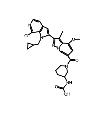 COc1cc(C(=O)N2CCCC(NC(=O)O)C2)cn2nc(-c3cc4ccnc(Cl)c4n3CC3CC3)c(C)c12